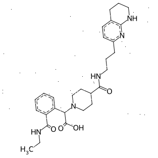 CCNC(=O)c1ccccc1C(C(=O)O)N1CCC(C(=O)NCCCc2ccc3c(n2)NCCC3)CC1